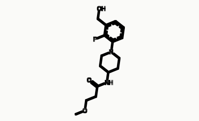 COCCC(=O)NC1CCN(c2cccc(CO)c2F)CC1